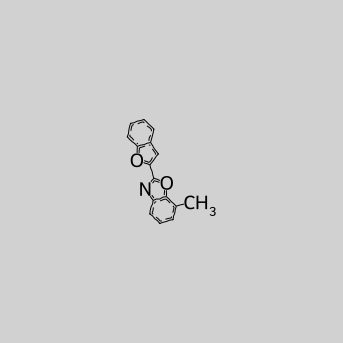 Cc1cccc2nc(-c3cc4ccccc4o3)oc12